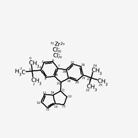 CC(C)(C)c1ccc2c(c1)C(C1CCC3=CC=CC31)c1cc(C(C)(C)C)ccc1-2.[Cl-].[Cl-].[Zr+2]